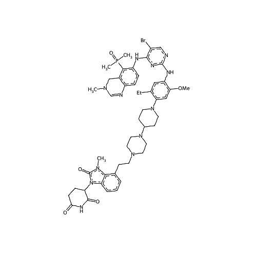 CCc1cc(Nc2ncc(Br)c(Nc3ccc4c(c3P(C)(C)=O)CN(C)C=N4)n2)c(OC)cc1N1CCC(N2CCN(CCc3cccc4c3n(C)c(=O)n4C3CCC(=O)NC3=O)CC2)CC1